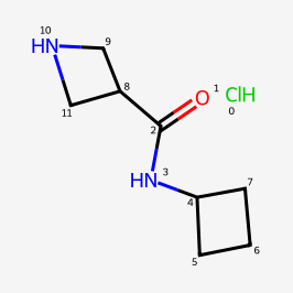 Cl.O=C(NC1CCC1)C1CNC1